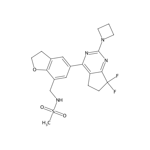 CS(=O)(=O)NCc1cc(-c2nc(N3CCC3)nc3c2CCC3(F)F)cc2c1OCC2